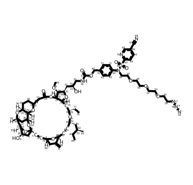 C=C1C[C@@H]2CC[C@]34C[C@@H](O)[C@H](O3)[C@H]3C[C@@H](O4)[C@H]4O[C@H](CC[C@@H]4O3)CC(=O)C[C@@H]3[C@@H](OC)[C@@H](C[C@H](O)CNC(=O)OCc4ccc(N(CCOCCOCCOCCN=[N+]=[N-])S(=O)(=O)c5ccc(C#N)cn5)cc4)O[C@H]3C[C@H](CC)O[C@H](C[C@@H](C)CC)CC[C@@H]1O2